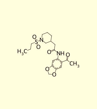 CCCS(=O)(=O)N1CCCC(CC(=O)Nc2cc3c(cc2C(C)=O)OCO3)C1